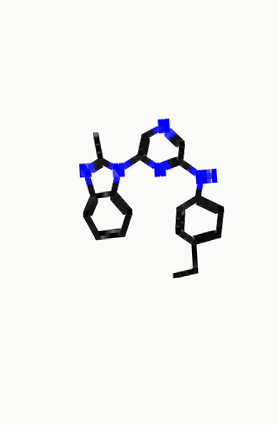 CCc1ccc(Nc2cncc(-n3c(C)nc4ccccc43)n2)cc1